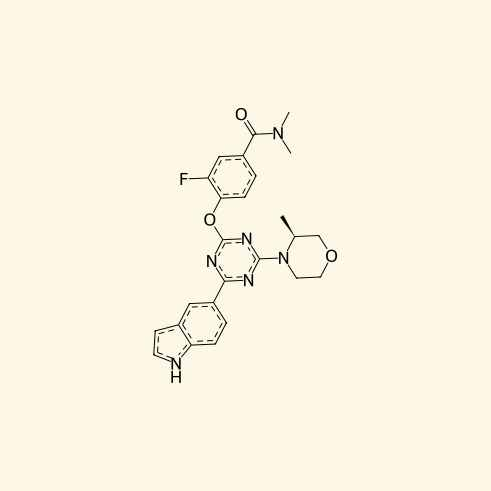 C[C@H]1COCCN1c1nc(Oc2ccc(C(=O)N(C)C)cc2F)nc(-c2ccc3[nH]ccc3c2)n1